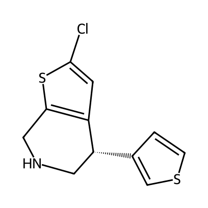 Clc1cc2c(s1)CNC[C@H]2c1ccsc1